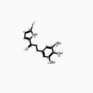 CC(C)(C)c1cc(CCC(=O)c2ccc(F)[nH]2)cc(C(C)(C)C)c1O